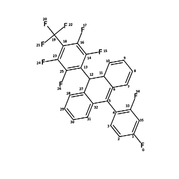 Fc1ccc(C2=C3C=CC=CC3C(c3c(F)c(F)c(C(F)(F)F)c(F)c3F)c3ccccc32)c(F)c1